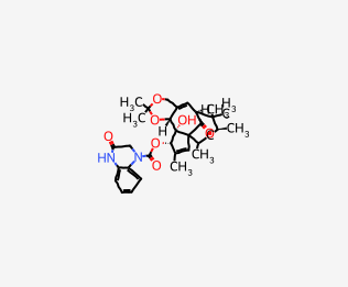 CC1=CC23C(=O)[C@@H](C=C4COC(C)(C)O[C@H]4[C@]2(O)[C@H]1OC(=O)N1CC(=O)Nc2ccccc21)C(C)(C)[C@@H](C)CC3C